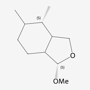 CO[C@H]1OCC2C1CCC(C)[C@@H]2C